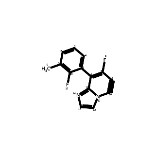 Cc1cccc(-c2c(F)c#cn3ccnc23)c1F